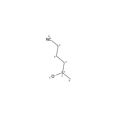 C[S+]([O-])CCCC#N